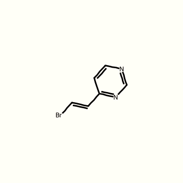 BrC=Cc1ccncn1